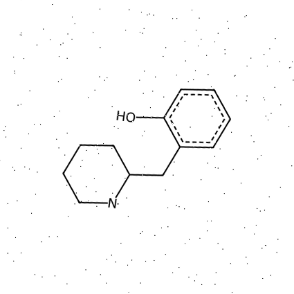 Oc1ccccc1CC1CCCC[N]1